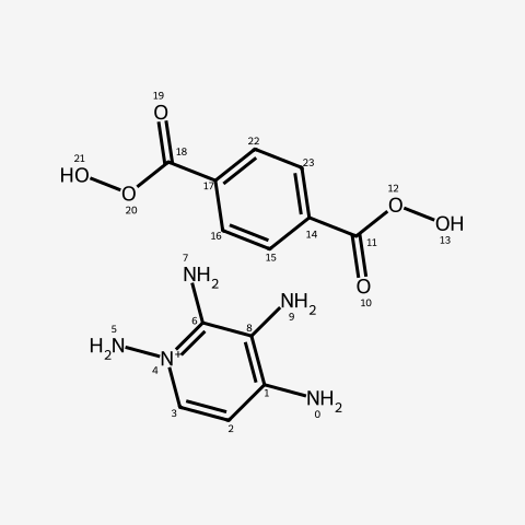 Nc1cc[n+](N)c(N)c1N.O=C(OO)c1ccc(C(=O)OO)cc1